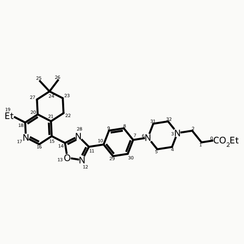 CCOC(=O)CCN1CCN(c2ccc(-c3noc(-c4cnc(CC)c5c4CCC(C)(C)C5)n3)cc2)CC1